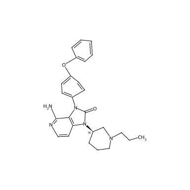 CCCN1CCC[C@@H](n2c(=O)n(-c3ccc(Oc4ccccc4)cc3)c3c(N)nccc32)C1